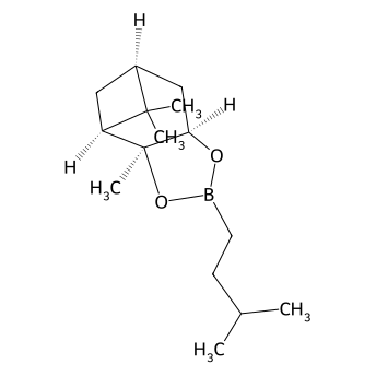 CC(C)CCB1O[C@@H]2C[C@@H]3C[C@@H](C3(C)C)[C@]2(C)O1